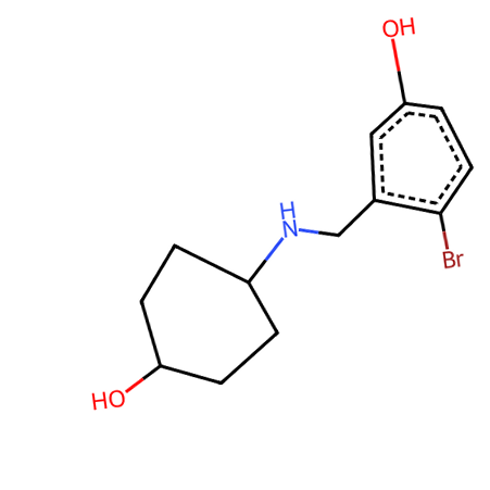 Oc1ccc(Br)c(CNC2CCC(O)CC2)c1